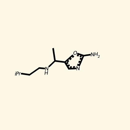 CC(C)CCNC(C)c1cnc(N)o1